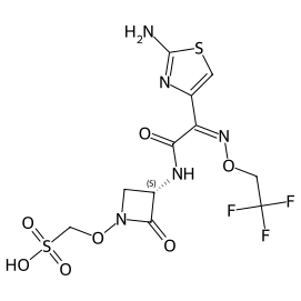 Nc1nc(C(=NOCC(F)(F)F)C(=O)N[C@H]2CN(OCS(=O)(=O)O)C2=O)cs1